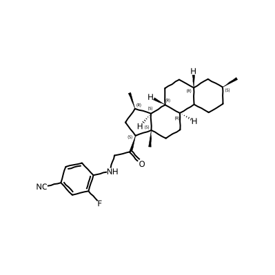 C[C@H]1CCC2[C@H](CC[C@H]3[C@@H]4[C@H](C)C[C@H](C(=O)CNc5ccc(C#N)cc5F)[C@@]4(C)CC[C@H]23)C1